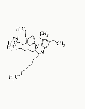 CCCCCCCCC(=Nc1cc(CC)cc(CC)c1)C(CCCCCC)=Nc1ccc(CCC)c(CCC)c1.[Pd]